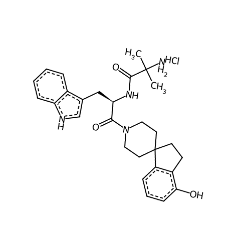 CC(C)(N)C(=O)N[C@H](Cc1c[nH]c2ccccc12)C(=O)N1CCC2(CCc3c(O)cccc32)CC1.Cl